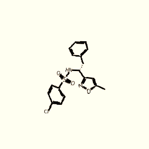 Cc1cc([C@@H](Cc2ccccc2)NS(=O)(=O)c2ccc(Cl)cc2)no1